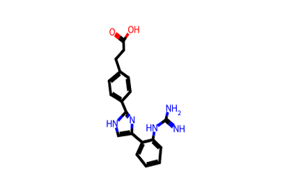 N=C(N)Nc1ccccc1-c1c[nH]c(-c2ccc(CCC(=O)O)cc2)n1